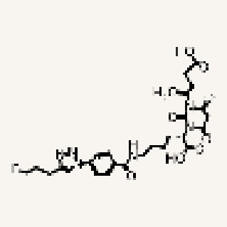 C=C(CCC(=O)O)N1C(=O)CC(=O)N([C@@H](CCCCNC(=O)c2ccc(-n3cc(CCCF)nn3)cc2)C(=O)O)C1=O